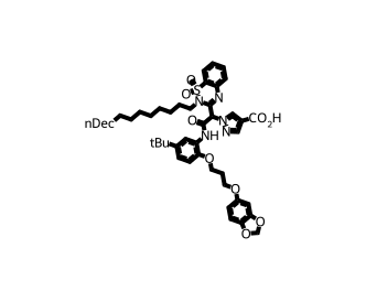 CCCCCCCCCCCCCCCCCCN1C(C(C(=O)Nc2cc(C(C)(C)C)ccc2OCCCOc2ccc3c(c2)OCO3)n2cc(C(=O)O)cn2)=Nc2ccccc2S1(=O)=O